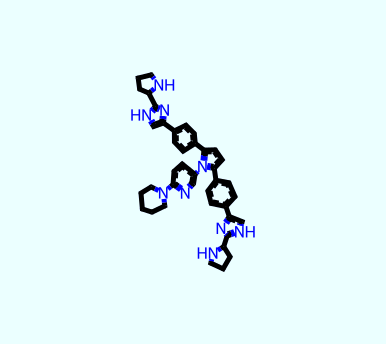 c1cc(-c2ccc(-c3ccc(-c4c[nH]c(C5CCCN5)n4)cc3)n2-c2ccc(N3CCCCC3)nc2)ccc1-c1c[nH]c(C2CCCN2)n1